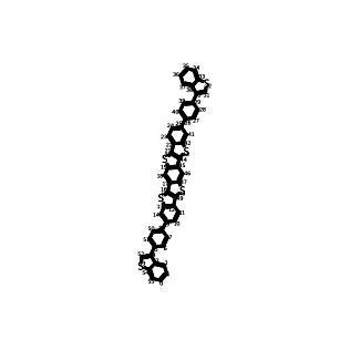 c1ccc2c(-c3ccc(-c4ccc5c(c4)sc4c6cc7sc8c9ccc(-c%10ccc(-c%11csc%12ccccc%11%12)cc%10)cc9sc8c7cc6sc54)cc3)csc2c1